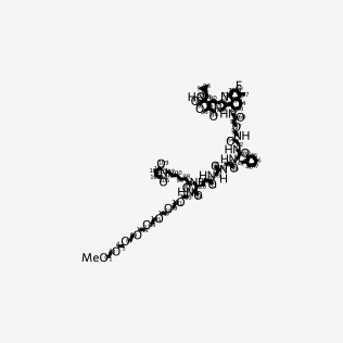 COCCOCCOCCOCCOCCOCCOCCOCCNC(=O)[C@H](CCC(=O)NCC(=O)NCC(=O)N[C@@H](Cc1ccccc1)C(=O)NCC(=O)NCOCC(=O)N[C@H]1CCc2c(C)c(F)cc3nc4c(c1c23)Cn1c-4cc2c(c1=O)COC(=O)[C@]2(O)CC1CC1)NC(=O)CCCCCN1C(=O)C=CC1=O